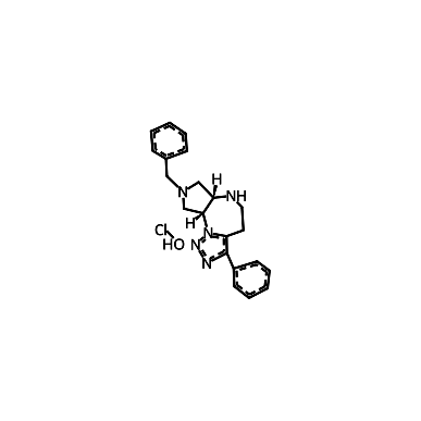 OCl.c1ccc(CN2C[C@@H]3NCCc4c(-c5ccccc5)nnn4[C@@H]3C2)cc1